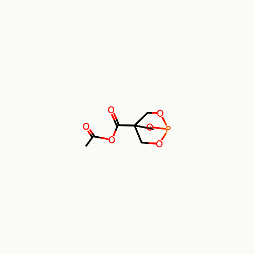 CC(=O)OC(=O)C12COP(OC1)OC2